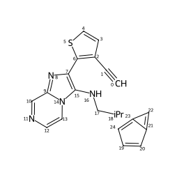 C#Cc1ccsc1-c1nc2cnccn2c1NCC(C)C.c1cc2cc-2c1